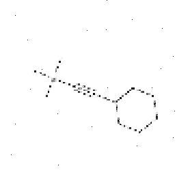 C[Si](C)(C)C#CC1CCCCC1